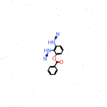 N#CNc1cccc(OC(=O)c2ccccc2)c1NC#N